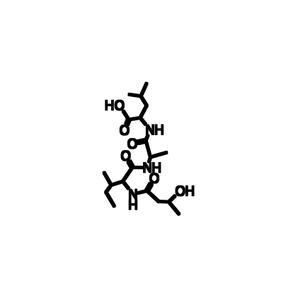 CCC(C)C(NC(=O)CC(C)O)C(=O)NC(C)C(=O)NC(CC(C)C)C(=O)O